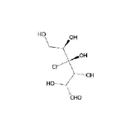 O=C[C@H](O)[C@@H](O)[C@](O)(Cl)[C@H](O)CO